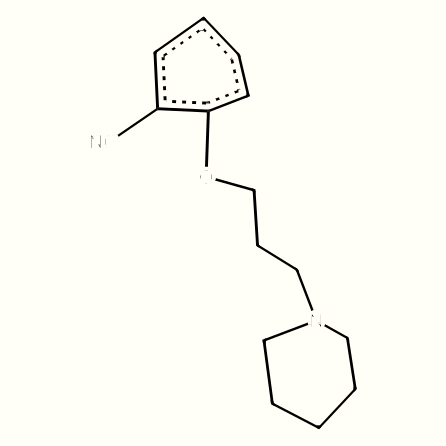 N#Cc1ccccc1OCCCN1CCCCC1